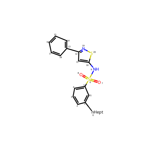 CCCCCCCc1cccc(S(=O)(=O)Nc2cc(-c3ccccc3)ns2)c1